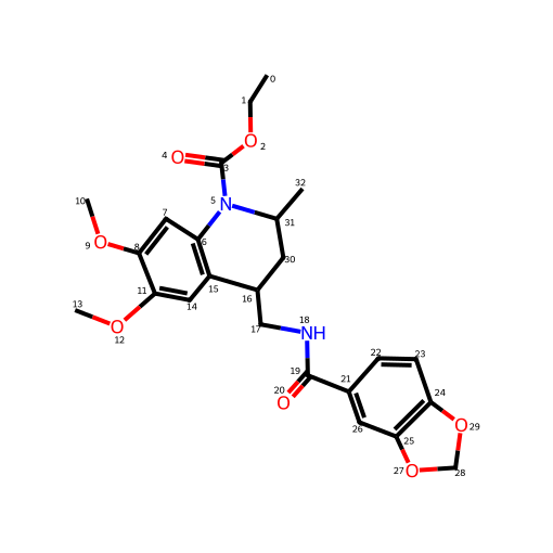 CCOC(=O)N1c2cc(OC)c(OC)cc2C(CNC(=O)c2ccc3c(c2)OCO3)CC1C